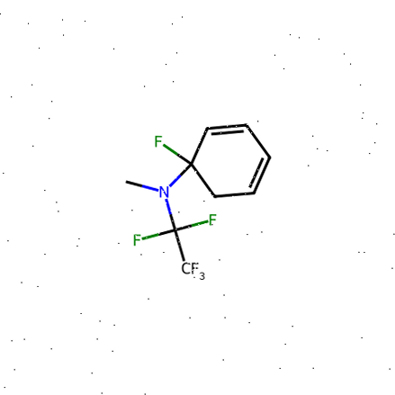 CN(C1(F)C=CC=CC1)C(F)(F)C(F)(F)F